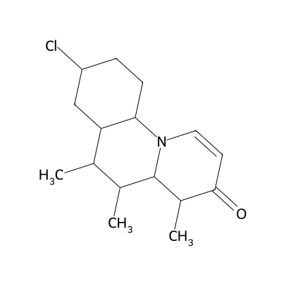 CC1C(=O)C=CN2C3CCC(Cl)CC3C(C)C(C)C12